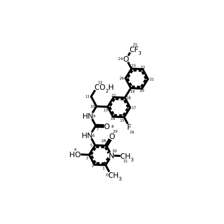 Cc1cc(O)c(NC(=O)NC(CC(=O)O)c2cc(F)cc(-c3cccc(OC(F)(F)F)c3)c2)c(=O)n1C